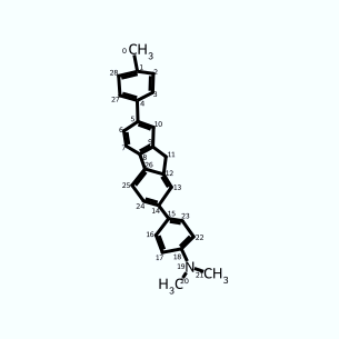 Cc1ccc(-c2ccc3c(c2)Cc2cc(-c4ccc(N(C)C)cc4)ccc2-3)cc1